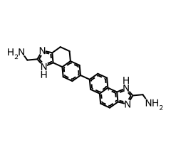 NCc1nc2c([nH]1)-c1ccc(-c3ccc4c(ccc5nc(CN)[nH]c54)c3)cc1CC2